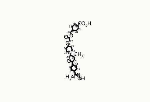 C[C@H](CC(=O)c1ccc(/C(N)=N/O)cc1)C(=O)N1CCC(OCC(=O)OCC2CCN(C(=O)O)CC2)CC1